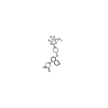 CC(C)(C)OC(=O)N1CCC(Oc2ccc(N3CCNC(=O)C3)c3ccncc23)CC1